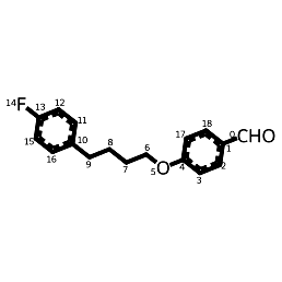 O=Cc1ccc(OCCCCc2ccc(F)cc2)cc1